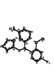 CCOc1cc(F)ccc1N(Cc1nnco1)c1ccnc(N)n1